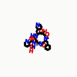 C[C@@H]1[C@H](NC(=O)c2ncccc2O)C(=O)N[C@@H](Cc2cccnc2)[C@@H](O)[C@@H](C)C(=O)N(C)C(Cc2ccccc2)C(=O)N1C